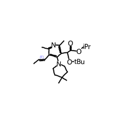 C/C=C/c1c(C)nc(C)c(C(OC(C)(C)C)C(=O)OC(C)C)c1N1CCC(C)(C)CC1